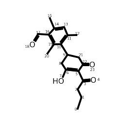 CCCC(=O)C1=C(O)CC(c2c(C)cc(C)c(C=O)c2C)CC1=O